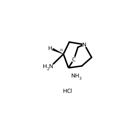 Cl.N.N[C@@H]1CN2CCC1CC2